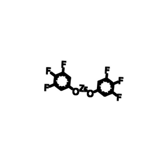 Fc1cc([O][Zr][O]c2cc(F)c(F)c(F)c2)cc(F)c1F